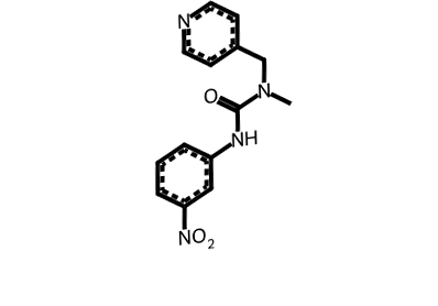 CN(Cc1ccncc1)C(=O)Nc1cccc([N+](=O)[O-])c1